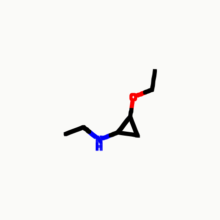 CCNC1CC1OCC